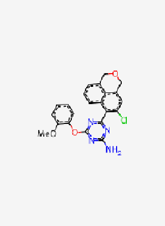 COc1ccccc1Oc1nc(N)nc(-c2c(Cl)cc3c4c(cccc24)COC3)n1